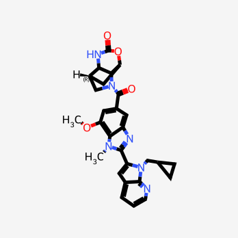 COc1cc(C(=O)N2C[C@H]3CC4OC(=O)NC3C42)cc2nc(-c3cc4cccnc4n3CC3CC3)n(C)c12